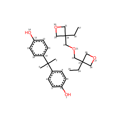 CC(C)(c1ccc(O)cc1)c1ccc(O)cc1.CCC1(COCC2(CC)COC2)COC1